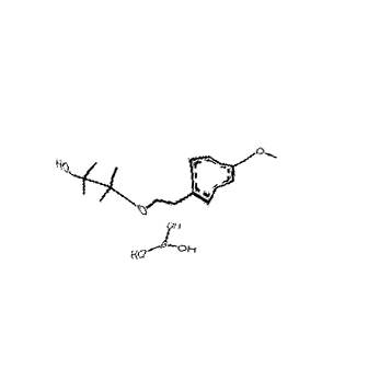 COc1ccc(CCOC(C)(C)C(C)(C)O)cc1.OB(O)O